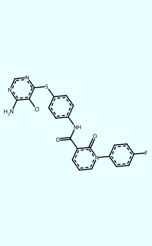 Nc1ncnc(Sc2ccc(NC(=O)c3cccn(-c4ccc(F)cc4)c3=O)cc2)c1Cl